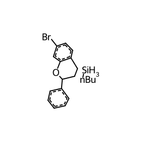 Brc1ccc2c(c1)OC(c1ccccc1)CC2.CCCC[SiH3]